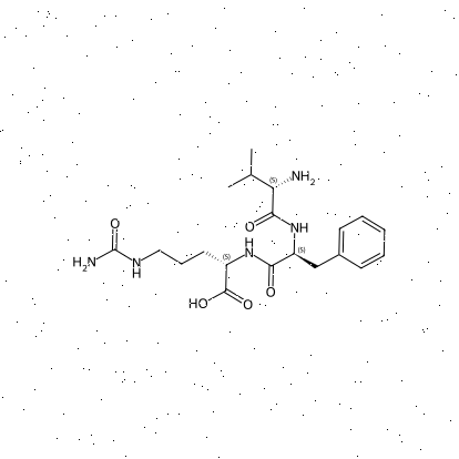 CC(C)[C@H](N)C(=O)N[C@@H](Cc1ccccc1)C(=O)N[C@@H](CCCNC(N)=O)C(=O)O